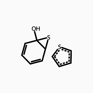 OC12C=CC=CC1S2.c1ccsc1